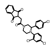 O=C1c2ccccc2C(=O)C1CC(=O)N1CCN(c2ccc(Cl)cc2Cl)C(c2ccc(Cl)cc2)C1